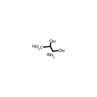 O=C(O)C(O)CO.[AlH3]